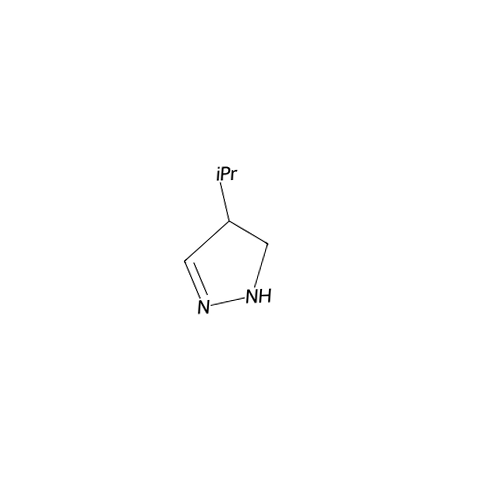 CC(C)C1C=NNC1